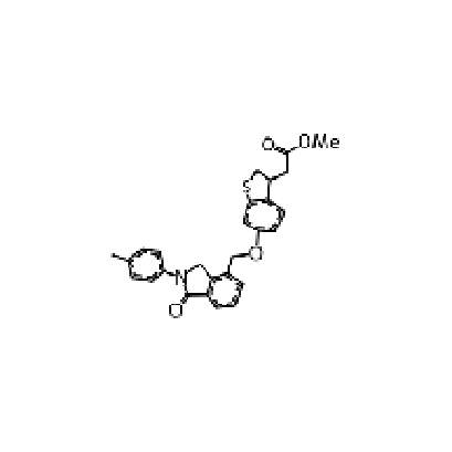 COC(=O)CC1CSc2cc(OCc3cccc4c3CN(c3ccc(C)cc3)C4=O)ccc21